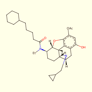 CCN(C(=O)CCCCC1CCCCC1)[C@@H]1CC[C@H]2[C@H]3Cc4c(O)cc(OC(C)=O)c5c4[C@@]2(CCN3CC2CC2)[C@H]1O5